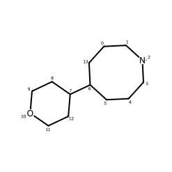 C1C[N]CCCC(C2CCOCC2)C1